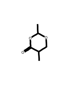 CC1OCC(C)C(=O)O1